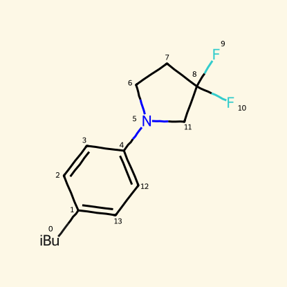 CCC(C)c1ccc(N2CCC(F)(F)C2)cc1